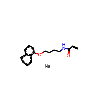 C=CC(=O)NCCCCOc1cccc2ccccc12.[NaH]